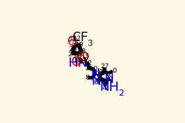 Cc1nc(N)c2nc(C)n(CCCNS(=O)(=O)c3ccc(OC(F)(F)F)cc3)c2c1C